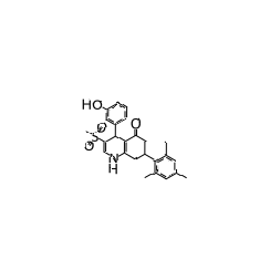 Cc1cc(C)c(C2CC(=O)C3=C(C2)NC=C(S(C)(=O)=O)C3c2cccc(O)c2)c(C)c1